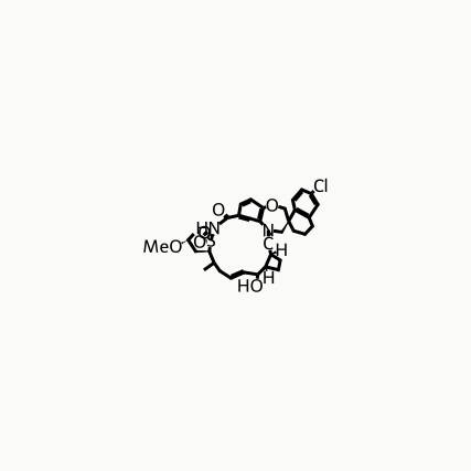 CO[C@H](C)C[C@@H]1C(C)C/C=C/C(O)[C@@H]2CC[C@H]2CN2C[C@@]3(CCCc4cc(Cl)ccc43)COc3ccc(cc32)C(=O)NS1(=O)=O